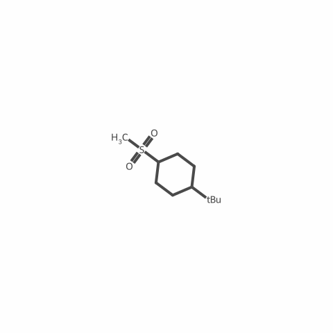 CC(C)(C)C1CCC(S(C)(=O)=O)CC1